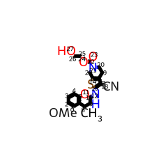 COc1ccccc1C(C)CC(=O)Nc1sc2c(c1C#N)CCN(C(=O)OCCO)C2